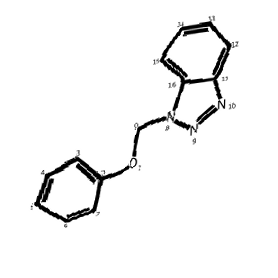 [CH](Oc1ccccc1)n1nnc2ccccc21